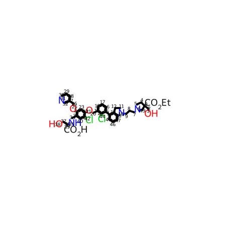 CCOC(=O)C1(CO)CCN(CCCN2CCc3c(-c4cccc(COc5cc(OCc6cccnc6)c(CN[C@@H](CO)C(=O)O)cc5Cl)c4Cl)cccc32)C1